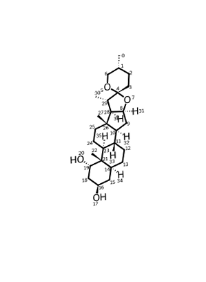 C[C@@H]1CC[C@@]2(OC1)O[C@H]1C[C@H]3[C@@H]4CC[C@H]5C[C@@H](O)C[C@H](O)[C@]5(C)[C@H]4CC[C@]3(C)[C@H]1[C@@H]2C